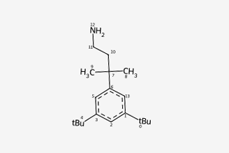 CC(C)(C)c1cc(C(C)(C)C)cc(C(C)(C)CCN)c1